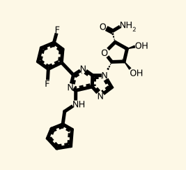 NC(=O)[C@H]1O[C@@H](n2cnc3c(NCc4ccccc4)nc(-c4cc(F)ccc4F)nc32)[C@H](O)[C@@H]1O